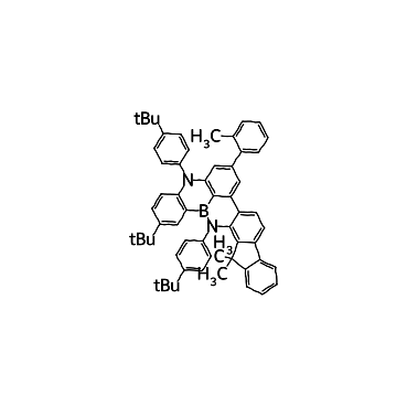 Cc1ccccc1-c1cc2c3c(c1)N(c1ccc(C(C)(C)C)cc1)c1ccc(C(C)(C)C)cc1B3N(c1ccc(C(C)(C)C)cc1)c1c-2ccc2c1C(C)(C)c1ccccc1-2